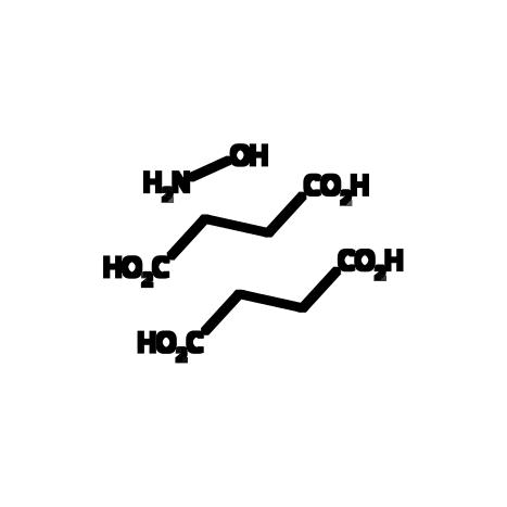 NO.O=C(O)CCC(=O)O.O=C(O)CCC(=O)O